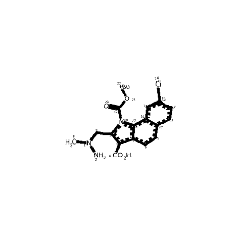 CN(N)Cc1c(C(=O)O)c2ccc3ccc(Cl)cc3c2n1C(=O)OC(C)(C)C